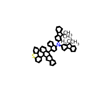 CC1(C)c2ccccc2-c2ccc(N(c3ccc4c(c3)C(C)(C)c3ccccc3-4)c3ccc(-c4c5ccccc5c(-c5cccc6sc7ccccc7c56)c5cc6ccccc6cc45)c4ccccc34)cc21